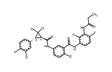 CCC(=O)Nc1c(F)ccc(NC(=O)c2cc(NC(=O)[C@H]3[C@H](c4ccc(F)c(Cl)c4)C3(Cl)Cl)ccc2Cl)c1F